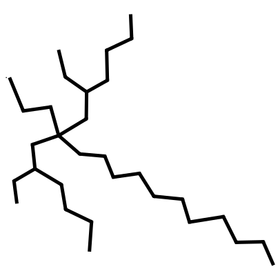 [CH2]CCC(CCCCCCCCCCC)(CC(CC)CCCC)CC(CC)CCCC